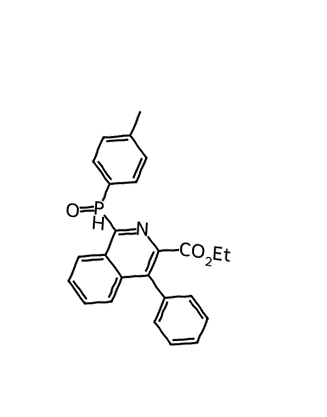 CCOC(=O)c1nc([PH](=O)c2ccc(C)cc2)c2ccccc2c1-c1ccccc1